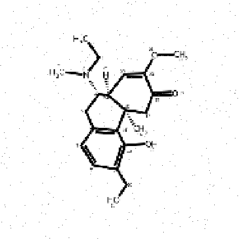 CCN(C)[C@H]1Cc2ccc(CO)c(O)c2[C@]2(C)CC(=O)C(OC)=C[C@H]12